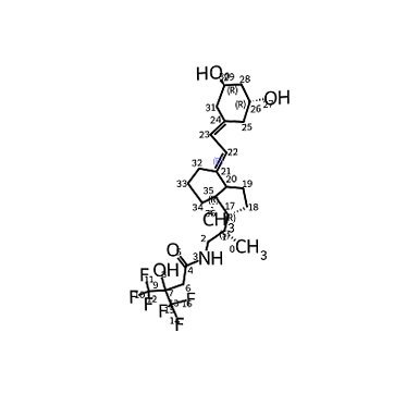 C[C@H](CNC(=O)CC(O)(C(F)(F)F)C(F)(F)F)[C@H]1CCC2/C(=C/C=C3C[C@@H](O)C[C@H](O)C3)CCC[C@@]21C